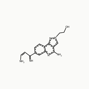 N=C(/C=C\N)c1ccc2c(c1)nc(N)c1cn(CCO)nc12